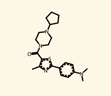 Cc1nc(-c2ccc(N(C)C)cc2)sc1C(=O)N1CCN(C2CCCC2)CC1